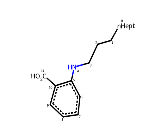 CCCCCCCCCCNc1ccccc1C(=O)O